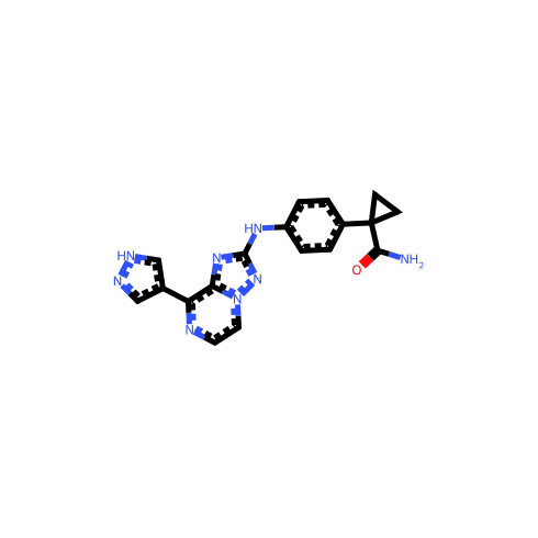 NC(=O)C1(c2ccc(Nc3nc4c(-c5cn[nH]c5)nccn4n3)cc2)CC1